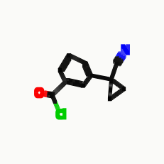 N#CC1(c2cccc(C(=O)Cl)c2)CC1